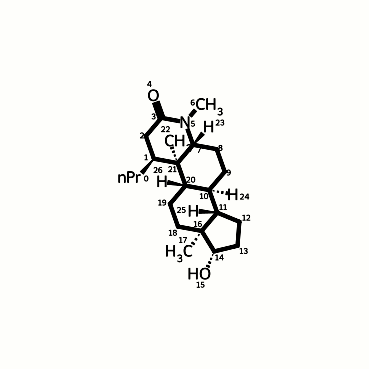 CCC[C@H]1CC(=O)N(C)[C@@H]2CC[C@H]3[C@@H]4CC[C@H](O)[C@@]4(C)CC[C@@H]3[C@@]12C